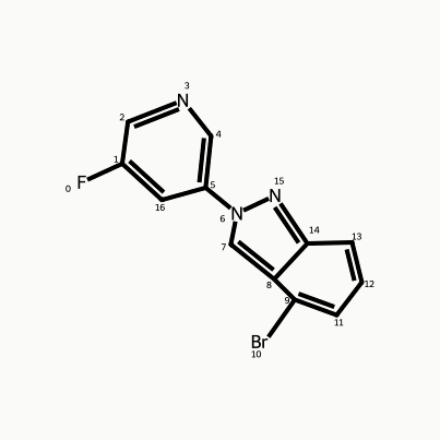 Fc1cncc(-n2cc3c(Br)cccc3n2)c1